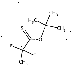 CC(C)(C)OC(=S)C(C)(F)F